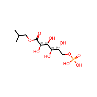 CC(C)COC(=O)[C@H](O)[C@@H](O)[C@H](O)[C@H](O)COP(=O)(O)O